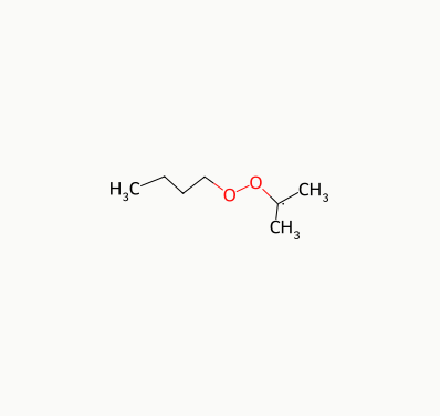 CCCCOO[C](C)C